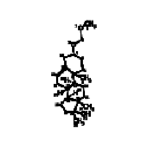 COCO[C@H]1CC[C@@]2(C)C(=CC[C@@H]3[C@@H]2CC[C@@]2(C)[C@H]3CC[C@]2(C)O)C1